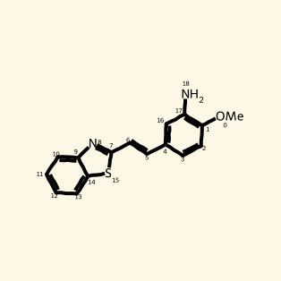 COc1ccc(C=Cc2nc3ccccc3s2)cc1N